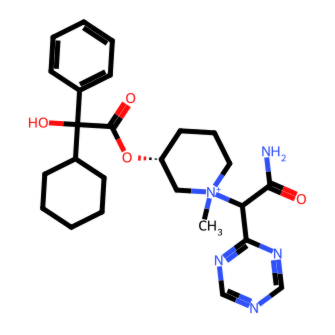 C[N+]1(C(C(N)=O)c2ncncn2)CCC[C@@H](OC(=O)C(O)(c2ccccc2)C2CCCCC2)C1